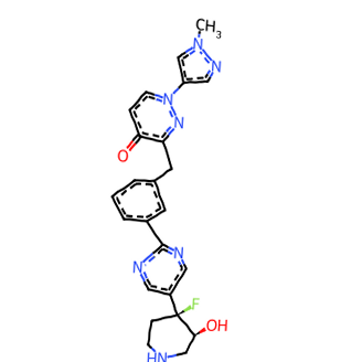 Cn1cc(-n2ccc(=O)c(Cc3cccc(-c4ncc([C@@]5(F)CCNC[C@@H]5O)cn4)c3)n2)cn1